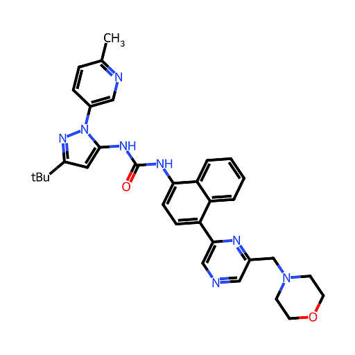 Cc1ccc(-n2nc(C(C)(C)C)cc2NC(=O)Nc2ccc(-c3cncc(CN4CCOCC4)n3)c3ccccc23)cn1